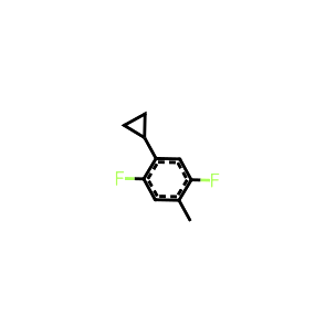 Cc1cc(F)c(C2CC2)cc1F